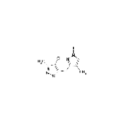 Cc1cn(I)nc1Cc1onc(C)c1C